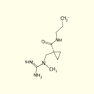 [CH2]CCNC(=O)C1(CN(C)C(=N)N)CC1